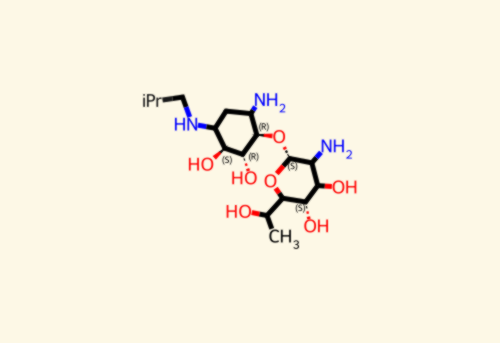 CC(C)CNC1CC(N)[C@@H](O[C@H]2OC(C(C)O)[C@@H](O)C(O)C2N)[C@H](O)[C@H]1O